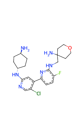 NC1(CNc2nc(-c3cc(N[C@H]4CC[C@H](N)CC4)ncc3Cl)ccc2F)CCOCC1